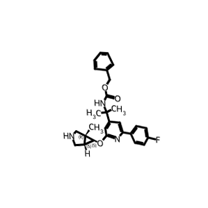 CC(C)(NC(=O)OCc1ccccc1)c1cc(O[C@H]2[C@@H]3CNC[C@@]32C)nc(-c2ccc(F)cc2)c1